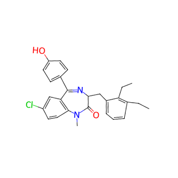 CCc1cccc(CC2N=C(c3ccc(O)cc3)c3cc(Cl)ccc3N(C)C2=O)c1CC